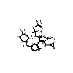 Cn1nc(CC(C)(C)OC(N)=O)c(-c2nc(NC3CCC(N)CC3)ncc2F)c1CC1CC1